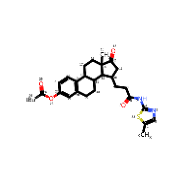 Cc1cnc(NC(=O)CCC2CC(=O)C3(C)CCC4c5ccc(OC(=O)C(C)(C)C)cc5CCC4C23)s1